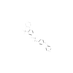 O=C(Nc1ccc(Oc2ccncc2)cc1)Nc1ccc(N2CCOCC2)c(C(F)(F)F)c1